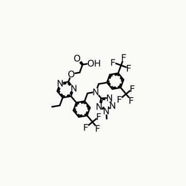 CCc1cnc(OCC(=O)O)nc1-c1ccc(C(F)(F)F)cc1CN(Cc1cc(C(F)(F)F)cc(C(F)(F)F)c1)c1nnn(C)n1